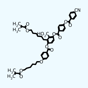 C=C(C)C(=O)OCCCCCCOc1ccc(C(=O)Oc2ccc(OC(=O)c3ccc(OC(=O)c4ccc(C#N)cc4)cc3)c(C(=O)O)c2CCCCCCOC(=O)C(=C)C)cc1